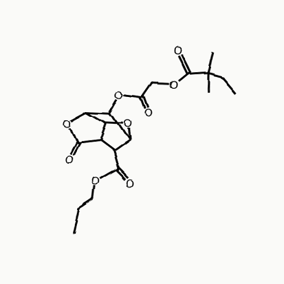 CCCOC(=O)C1C2OC3C(OC(=O)C31)C2OC(=O)COC(=O)C(C)(C)CC